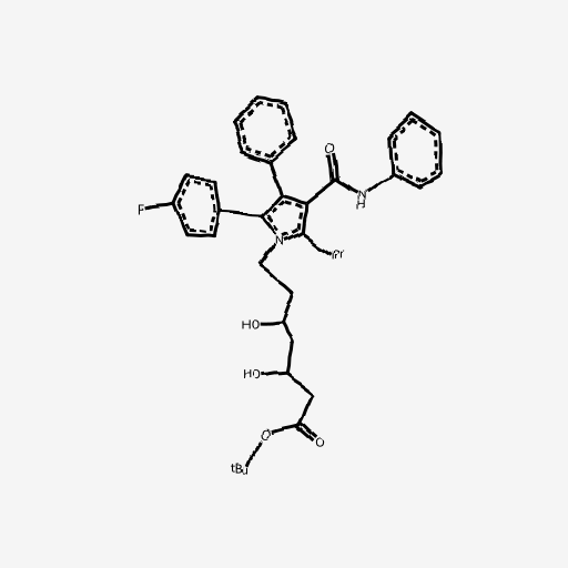 CC(C)c1c(C(=O)Nc2ccccc2)c(-c2ccccc2)c(-c2ccc(F)cc2)n1CCC(O)CC(O)CC(=O)OC(C)(C)C